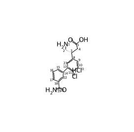 Cl.NC[C@H](CC(=O)O)c1ccc(Cl)c(-c2cccc(C(N)=O)c2)c1